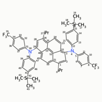 CC(C)c1cc(N(c2ccc(C(F)(F)F)cc2)c2ccc([Si](C)(C)C)cc2)c2ccc3c(C(C)C)cc(N(c4ccc(C(F)(F)F)cc4)c4ccc([Si](C)(C)C)cc4)c4ccc1c2c34